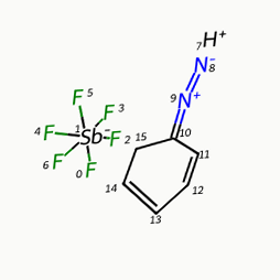 [F][Sb-]([F])([F])([F])([F])[F].[H+].[N-]=[N+]=C1C=CC=CC1